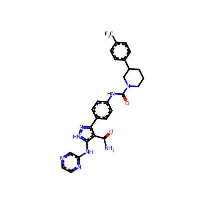 NC(=O)c1c(-c2ccc(NC(=O)N3CCCC(c4ccc(C(F)(F)F)cc4)C3)cc2)n[nH]c1Nc1cnccn1